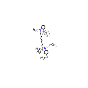 CCCC[N+]1=C(/C=C/C=C/C=C/C=C2/N(C)c3ccccc3C2(C)C)C(C)(C)c2cc(OC)ccc21